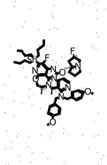 CCC[CH2][Sn]([CH2]CCC)([CH2]CCC)[c]1nc2c3c(nc(OC[C@@]45CCCN4C[C@H](F)C5)nc3c1F)N([C@H](C)c1cccnc1N(Cc1ccc(OC)cc1)Cc1ccc(OC)cc1)[C@@H](C)CO2